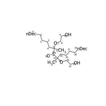 CCCCCCCCCCCCCCC(C)(OCCO)[S+]([O-])C(C)(CCCCCCCCCCCCCC)OCCO